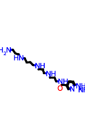 NCCCNCCCCNCCCNCCCNC(=O)c1ccc(NN)nc1